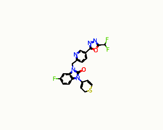 O=c1n(Cc2ccc(-c3nnc(C(F)F)o3)cn2)c2cc(F)ccc2n1C1=CCSC=C1